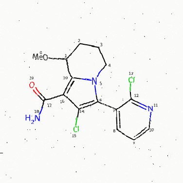 COC1CCCn2c(-c3cccnc3Cl)c(Cl)c(C(N)=O)c21